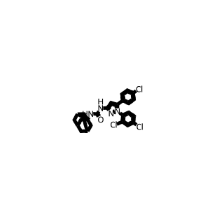 O=C(Nc1cc(-c2ccc(Cl)cc2)n(-c2ccc(Cl)cc2Cl)n1)NC12CC3CC(CC(C3)C1)C2